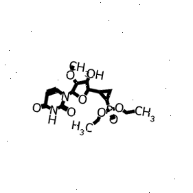 CCOP(=O)(OCC)C1CC1C1OC(n2c#cc(=O)[nH]c2=O)C(OC)C1O